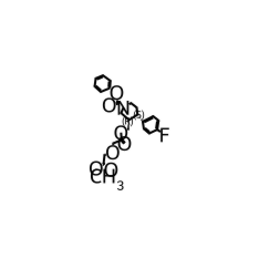 COC(=O)COCC(=O)OC[C@H]1CN(C(=O)Oc2ccccc2)CC[C@@H]1c1ccc(F)cc1